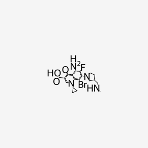 CNCC1CCN(c2c(F)c(N)c3c(=O)c(C(=O)O)cn(C4CC4)c3c2Br)C1